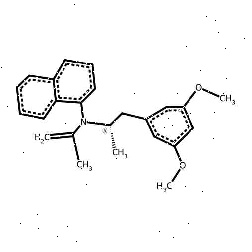 C=C(C)N(c1cccc2ccccc12)[C@@H](C)Cc1cc(OC)cc(OC)c1